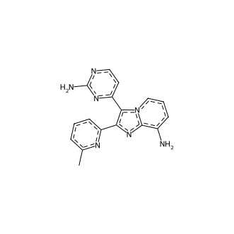 Cc1cccc(-c2nc3c(N)cccn3c2-c2ccnc(N)n2)n1